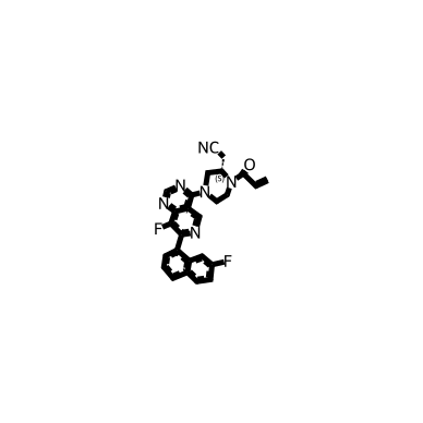 C=CC(=O)N1CCN(c2ncnc3c(F)c(-c4cccc5ccc(F)cc45)ncc23)C[C@@H]1CC#N